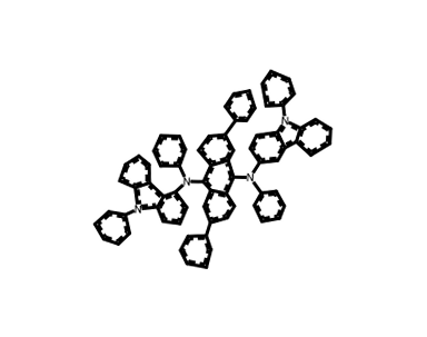 c1ccc(-c2ccc3c(N(c4ccccc4)c4cccc5c4c4ccccc4n5-c4ccccc4)c4cc(-c5ccccc5)ccc4c(N(c4ccccc4)c4ccc5c(c4)c4ccccc4n5-c4ccccc4)c3c2)cc1